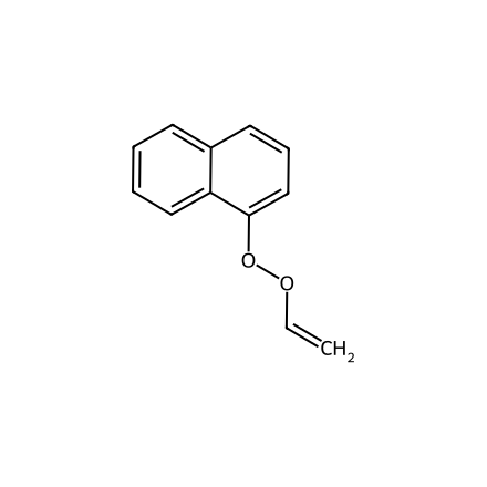 C=COOc1cccc2ccccc12